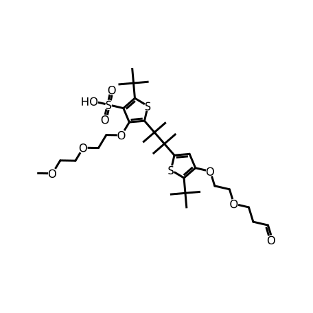 COCCOCCOc1c(C(C)(C)C(C)(C)c2cc(OCCOCCC=O)c(C(C)(C)C)s2)sc(C(C)(C)C)c1S(=O)(=O)O